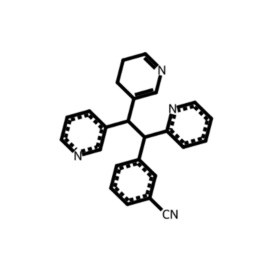 N#Cc1cccc(C(c2ccccn2)C(C2=CN=CCC2)c2cccnc2)c1